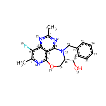 Cc1nc2c3c(nc(C)c(F)c3n1)OC[C@@H](CO)N2Cc1ccccc1